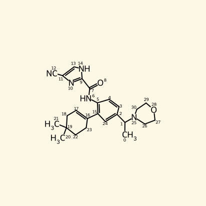 CC(c1ccc(NC(=O)c2nc(C#N)c[nH]2)c(C2=CCC(C)(C)CC2)c1)N1CCOCC1